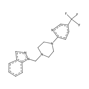 FC(F)(F)c1ccc(N2CCN(Cn3ncc4ccccc43)CC2)nc1